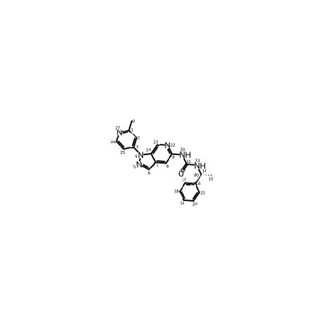 Cc1cc(-n2ncc3cc(NC(=O)N[C@H](C)c4ccccc4)ncc32)ccn1